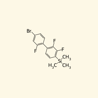 C[Si](C)(C)c1ccc(-c2ccc(Br)cc2F)c(F)c1F